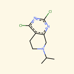 CC(C)N1CCc2c(Cl)nc(Cl)nc2C1